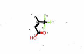 CC(=CC(=O)O)C(F)(F)F